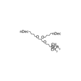 CCCCCCCCCCCCCCOCC(COCCC[N+](C)(C)C)OCCCCCCCCCCCCCC